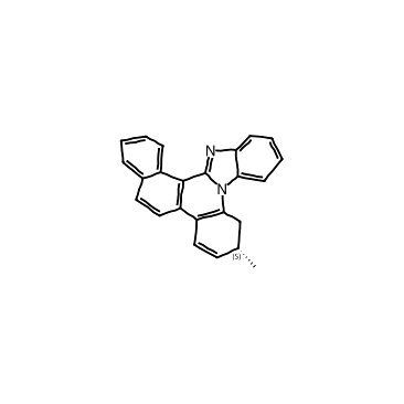 C[C@@H]1C=Cc2c(n3c4ccccc4nc3c3c2ccc2ccccc23)C1